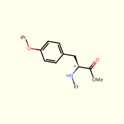 CCN[C@@H](Cc1ccc(OC(C)C)cc1)C(=O)OC